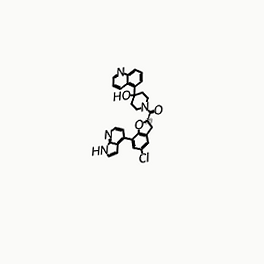 O=C([C@H]1Cc2cc(Cl)cc(-c3ccnc4[nH]ccc34)c2O1)N1CCC(O)(c2cccc3ncccc23)CC1